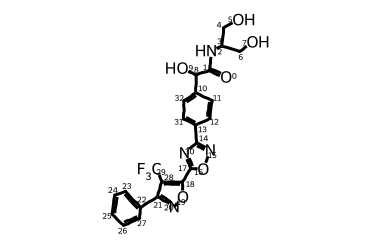 O=C(NC(CO)CO)C(O)c1ccc(-c2noc(-c3onc(-c4ccccc4)c3C(F)(F)F)n2)cc1